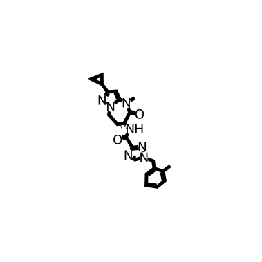 Cc1ccccc1Cn1cnc(C(=O)N[C@H]2CCn3nc(C4CC4)cc3N(C)C2=O)n1